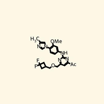 COc1cc(Nc2nc(COCC3CC(F)(F)C3)cc(C(C)=O)n2)ccc1-n1cnc(C)c1